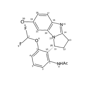 CC(=O)Nc1cccc(OC(F)F)c1[C@H]1CCc2nc3ccc(Cl)cc3n21